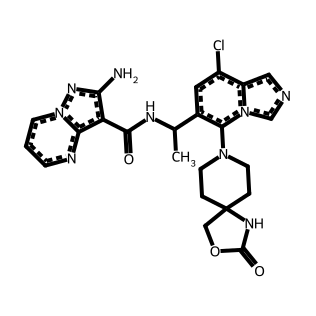 CC(NC(=O)c1c(N)nn2cccnc12)c1cc(Cl)c2cncn2c1N1CCC2(CC1)COC(=O)N2